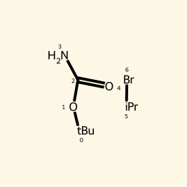 CC(C)(C)OC(N)=O.CC(C)Br